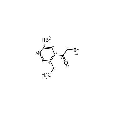 Br.CCc1cnccc1C(=O)CBr